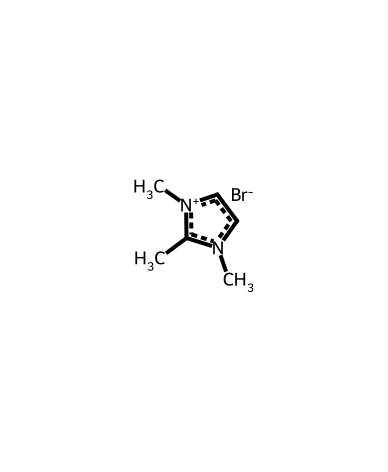 Cc1n(C)cc[n+]1C.[Br-]